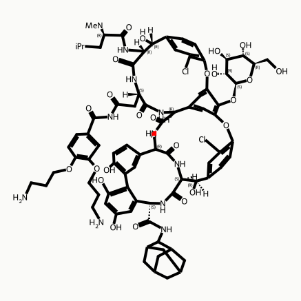 CN[C@H](CC(C)C)C(=O)N[C@H]1C(=O)N[C@@H](CC(=O)NC(=O)c2ccc(OCCCN)c(OCCCN)c2)C(=O)N[C@H]2C(=O)N[C@H]3C(=O)N[C@H](C(=O)N[C@H](C(=O)NC4C5CC6CC(C5)CC4C6)c4cc(O)cc(O)c4-c4cc3ccc4O)[C@H](O)c3ccc(c(Cl)c3)Oc3cc2cc(c3O[C@@H]2O[C@H](CO)[C@@H](O)[C@H](O)[C@H]2O)Oc2ccc(cc2Cl)[C@H]1O